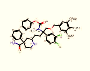 COc1cc(COCC(CCC2CC(C(N)=O)(c3ccccc3)CCN2)(c2ccc(Cl)c(Cl)c2)N(C)C(=O)Oc2ccccc2)cc(OC)c1OC